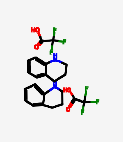 O=C(O)C(F)(F)F.O=C(O)C(F)(F)F.c1ccc2c(c1)CCCN2.c1ccc2c(c1)CCCN2